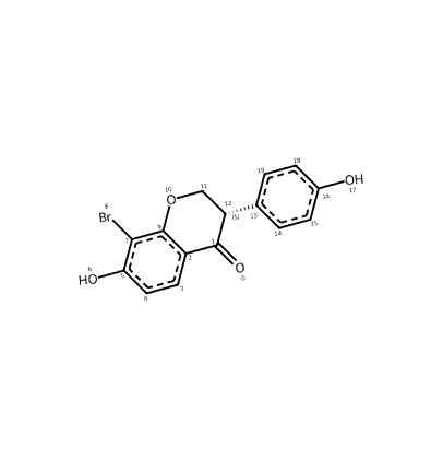 O=C1c2ccc(O)c(Br)c2OC[C@@H]1c1ccc(O)cc1